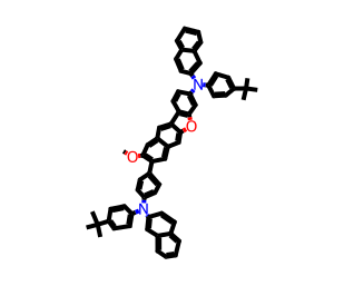 COc1cc2cc3c(cc2cc1-c1ccc(N(c2ccc(C(C)(C)C)cc2)c2ccc4ccccc4c2)cc1)oc1cc(N(c2ccc(C(C)(C)C)cc2)c2ccc4ccccc4c2)ccc13